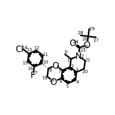 CC1c2c(ccc3c2O[C@@H](c2ccc(Cl)cc2F)CO3)CCN1C(=O)OC(C)(C)C